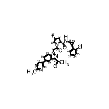 CC(=O)c1nn(CC(=O)N2C[C@H](F)C[C@H]2C(=O)NC2CC2c2ccccc2Cl)c2ccc(-c3cnc(C)nc3)cc12